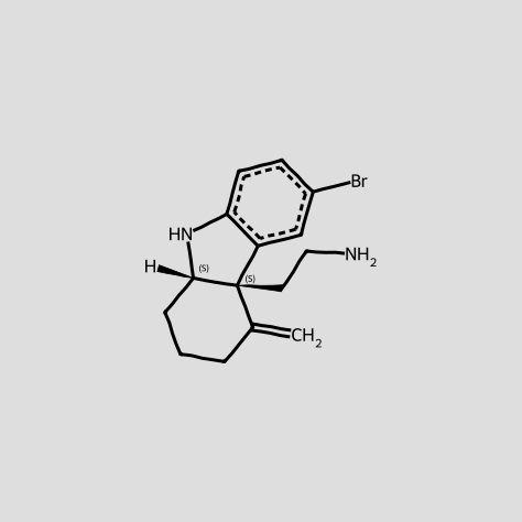 C=C1CCC[C@@H]2Nc3ccc(Br)cc3[C@]12CCN